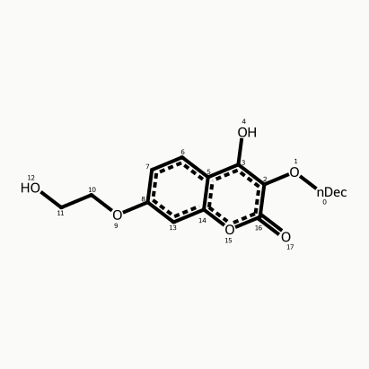 CCCCCCCCCCOc1c(O)c2ccc(OCCO)cc2oc1=O